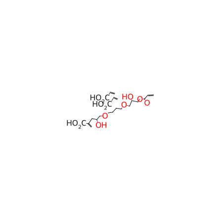 C=CC(=O)O.C=CC(=O)O.C=CC(=O)OCC(O)COCCCCOCC(O)CC(=C)C(=O)O